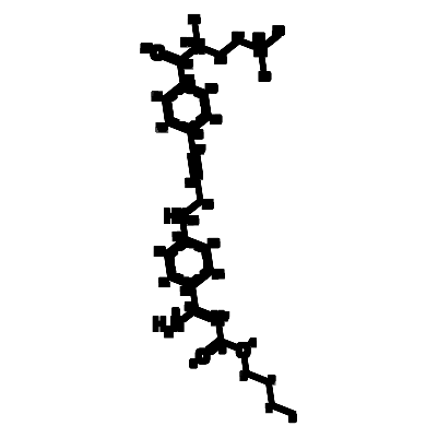 CCCCOC(=O)N=C(N)c1ccc(NCC#Cc2ccc(C(=O)N(C)CCN(C)C)cc2)cc1